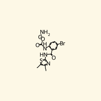 Cc1nc(NC(=O)c2cc(Br)ccc2NC(=O)OON)sc1C